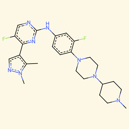 Cc1c(-c2nc(Nc3ccc(N4CCN(C5CCN(C)CC5)CC4)c(F)c3)ncc2F)cnn1C